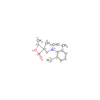 Cc1cccc(C)c1N(C=O)CC1(C)C(=O)OC1C